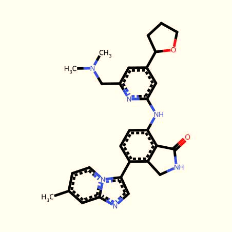 Cc1ccn2c(-c3ccc(Nc4cc(C5CCCO5)cc(CN(C)C)n4)c4c3CNC4=O)cnc2c1